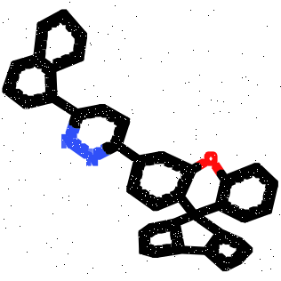 c1ccc2c(c1)Oc1cc(-c3ccc(-c4cccc5ccccc45)nn3)ccc1C21c2ccccc2-c2ccccc21